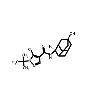 CC(C)(C)n1ncc(C(=O)N[C@H]2C3CC4CC2C[C@@](O)(C4)C3)c1Cl